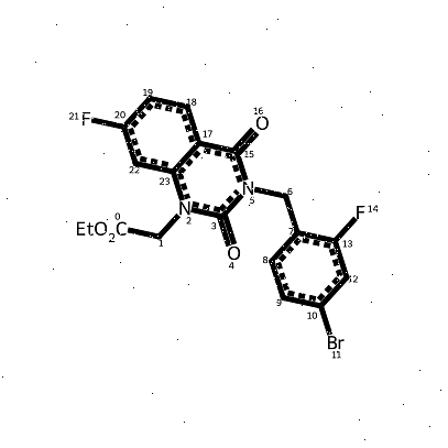 CCOC(=O)Cn1c(=O)n(Cc2ccc(Br)cc2F)c(=O)c2ccc(F)cc21